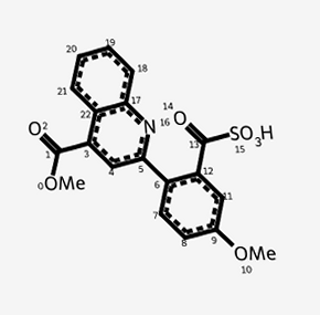 COC(=O)c1cc(-c2ccc(OC)cc2C(=O)S(=O)(=O)O)nc2ccccc12